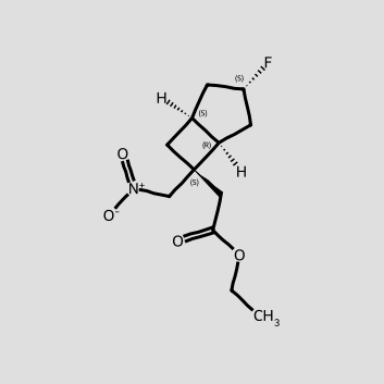 CCOC(=O)C[C@@]1(C[N+](=O)[O-])C[C@H]2C[C@H](F)C[C@H]21